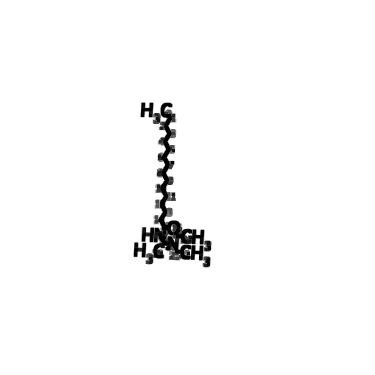 CCCCCCCCCCCCCCCC(=O)NC(C)N(CC)CC